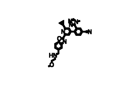 COCCNCc1ccc2oc(-c3cc(-c4ccc(C#N)cc4-c4nncn4C)cc(C4CC4)n3)nc2c1